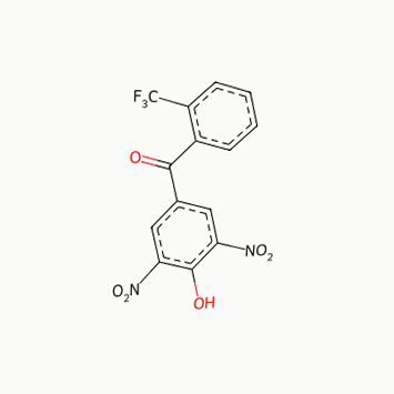 O=C(c1cc([N+](=O)[O-])c(O)c([N+](=O)[O-])c1)c1ccccc1C(F)(F)F